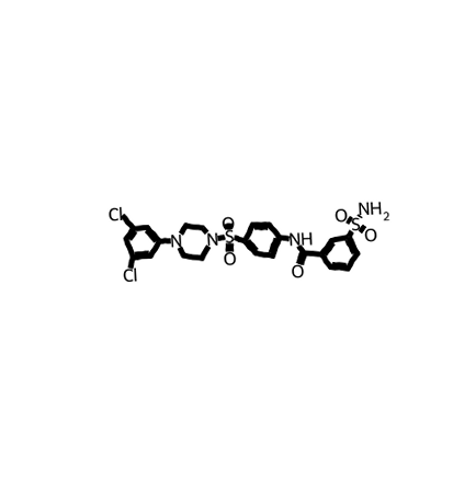 NS(=O)(=O)c1cccc(C(=O)Nc2ccc(S(=O)(=O)N3CCN(c4cc(Cl)cc(Cl)c4)CC3)cc2)c1